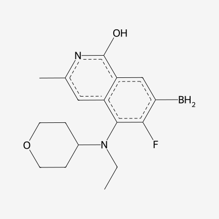 Bc1cc2c(O)nc(C)cc2c(N(CC)C2CCOCC2)c1F